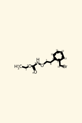 CCOC(=O)NOCCc1ccccc1CBr